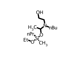 CCCCN(CCO)C(C)O[Si](C)(CCC)OCC